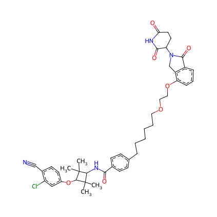 CC1(C)C(NC(=O)c2ccc(CCCCCCOCCOc3cccc4c3CN(C3CCC(=O)NC3=O)C4=O)cc2)C(C)(C)C1Oc1ccc(C#N)c(Cl)c1